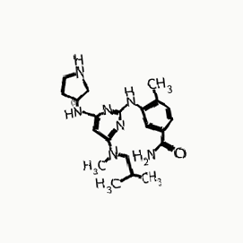 Cc1ccc(C(N)=O)cc1Nc1nc(N[C@H]2CCNC2)cc(N(C)CC(C)C)n1